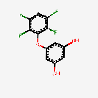 Oc1cc(O)cc(Oc2c(F)c(F)cc(F)c2F)c1